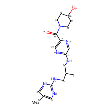 CSc1cnc(NCC(C)CNc2cnc(C(=O)N3CCC(O)CC3)cn2)nc1